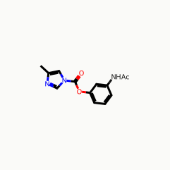 CC(=O)Nc1cccc(OC(=O)n2cnc(C)c2)c1